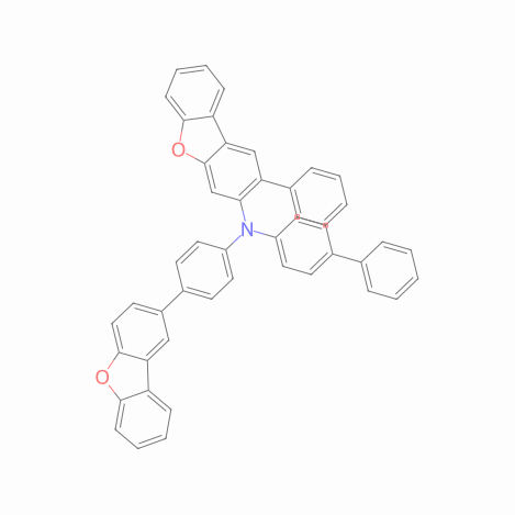 c1ccc(-c2ccc(N(c3ccc(-c4ccc5oc6ccccc6c5c4)cc3)c3cc4oc5ccccc5c4cc3-c3ccccc3)cc2)cc1